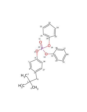 CC(C)(C)Cc1ccc(OP(=O)(Oc2ccccc2)Oc2ccccc2)cc1